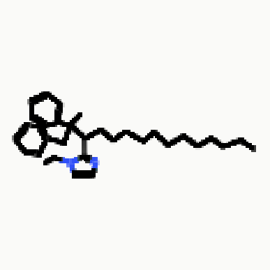 CCCCCCCCCCCCC(c1nccn1CC)C(C)(Cc1ccccc1)c1ccccc1